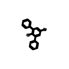 [O]c1c(-c2ccccc2)cc(Br)cc1-c1ccccc1